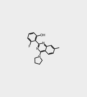 Cc1ccc2c(N3CCCC3)nc(-c3c(O)cccc3F)nc2c1